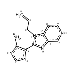 C=CCn1c(-n2ncnc2N)nc2cnccc21